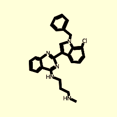 CNCCCNc1nc(-c2cn(Cc3ccccc3)c3c(Cl)cccc23)nc2ccccc12